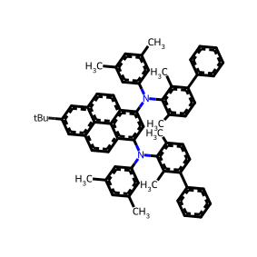 Cc1cc(C)cc(N(c2c(C)ccc(-c3ccccc3)c2C)c2cc(N(c3cc(C)cc(C)c3)c3c(C)ccc(-c4ccccc4)c3C)c3ccc4cc(C(C)(C)C)cc5ccc2c3c54)c1